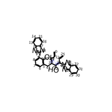 C=C/C=C(Cc1cccc(-n2nc3ccccc3n2)c1O)\C(O)=C(/C=C)n1nc2ccccc2n1